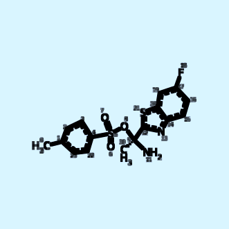 Cc1ccc(S(=O)(=O)O[C@](C)(N)c2nc3ccc(F)cc3s2)cc1